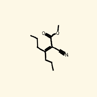 CCCC(CCC)=C(C#N)C(=O)OC